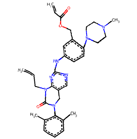 C=CCN1C(=O)N(c2c(C)cccc2C)Cc2cnc(Nc3ccc(N4CCN(C)CC4)c(COC(=O)C=C)c3)nc21